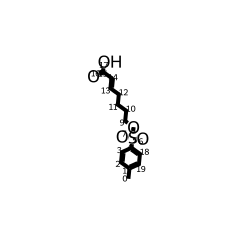 Cc1ccc(S(=O)(=O)OCCCCC=CC(=O)O)cc1